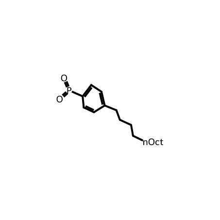 CCCCCCCCCCCCc1ccc(P(=O)=O)cc1